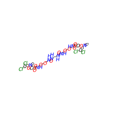 O=C(NCCCCNC(=O)NCCOCCOCCNS(=O)(=O)c1ccc(O[C@H]2c3cc(Cl)cc(Cl)c3C[C@@H]2N2CC3CCC2C3)cc1)NCCOCCOCCNS(=O)(=O)c1ccc(O[C@H]2c3cc(Cl)cc(Cl)c3C[C@@H]2N2CC3CCC2C3)cc1